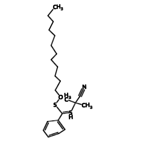 CCCCCCCCCCCCOSC(=[SH]C(C)(C)C#N)c1ccccc1